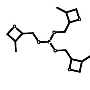 CC1COC1COP(OCC1OCC1C)OCC1OCC1C